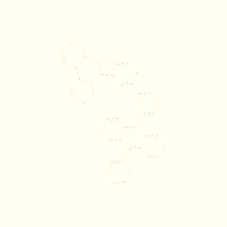 c1ccc(-c2c3ccccc3c(-c3cccc(-c4ccc5sc6c7ccccc7c7ccccc7c6c5c4)c3)c3ccccc23)cc1